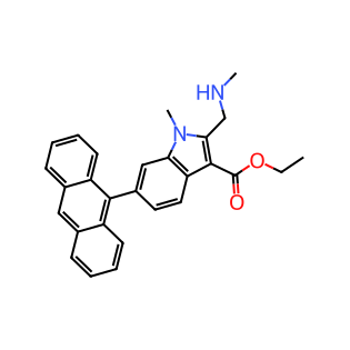 CCOC(=O)c1c(CNC)n(C)c2cc(-c3c4ccccc4cc4ccccc34)ccc12